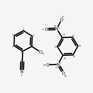 N#Cc1ccccc1Cl.O=[N+]([O-])c1cccc([N+](=O)[O-])c1